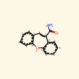 NC(=O)C1=Cc2ccccc2Oc2ccccc21